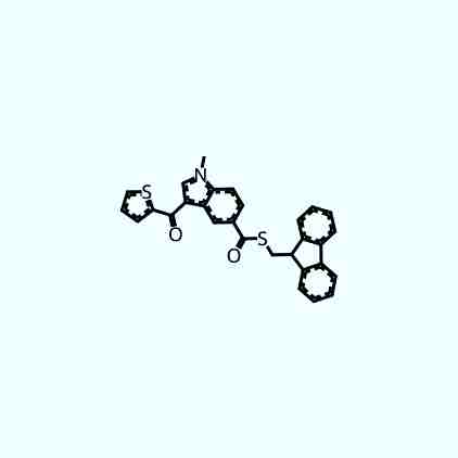 Cn1cc(C(=O)c2cccs2)c2cc(C(=O)SCC3c4ccccc4-c4ccccc43)ccc21